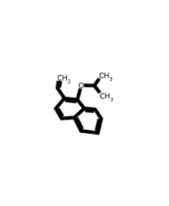 C=Cc1ccc2ccccc2c1OC(C)C